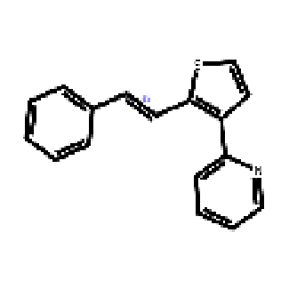 C(=C\c1sccc1-c1ccccn1)/c1ccccc1